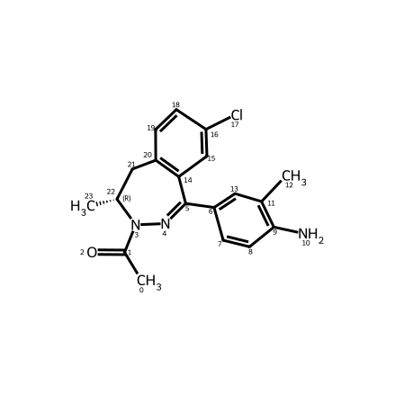 CC(=O)N1N=C(c2ccc(N)c(C)c2)c2cc(Cl)ccc2C[C@H]1C